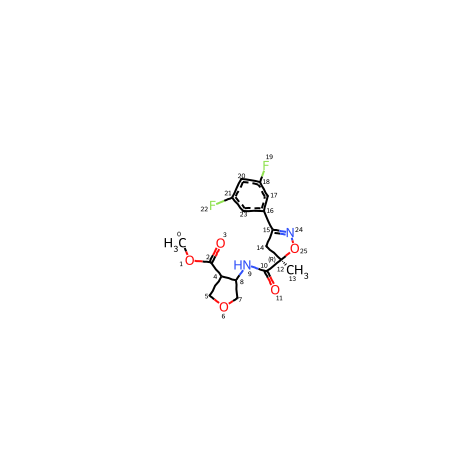 COC(=O)C1COCC1NC(=O)[C@@]1(C)CC(c2cc(F)cc(F)c2)=NO1